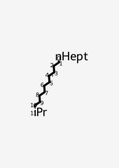 CCCCCCCCCC[CH]CCCCCCC(C)C